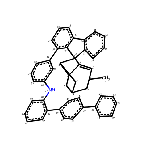 CC1C=C2C3CC(C1)CC3C21c2ccccc2-c2cccc(-c3cccc(Nc4ccccc4-c4ccc(-c5ccccc5)cc4)c3)c21